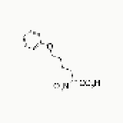 O=C(O)C(CCCCOc1ccccc1)[N+](=O)[O-]